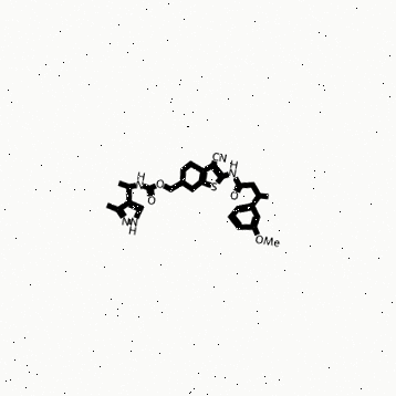 COc1cccc(C(C)CC(=O)Nc2sc3c(c2C#N)CCC(COC(=O)NC(C)c2c[nH]nc2C)C3)c1